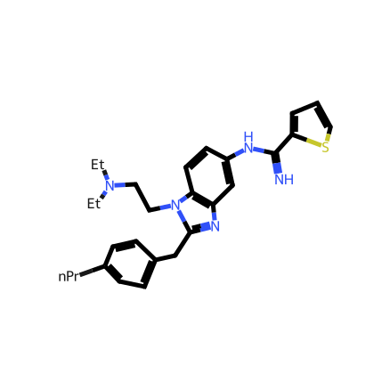 CCCc1ccc(Cc2nc3cc(NC(=N)c4cccs4)ccc3n2CCN(CC)CC)cc1